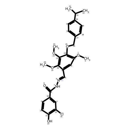 COc1cc(/C=N/NC(=O)c2ccc(O)c(Cl)c2)c(OC)c(OC)c1OCc1ccc(C(C)C)cc1